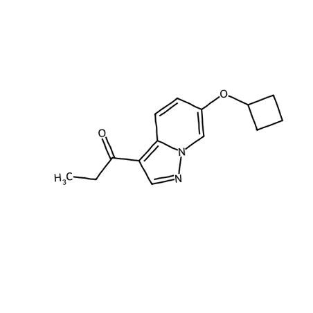 CCC(=O)c1cnn2cc(OC3CCC3)ccc12